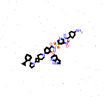 NC1CCC(CNc2ncc(S(=O)(=O)NC(=O)c3ccc(N4CCC5(CC4)CC(N4CCC[C@@H]4c4ccccc4C4CC4)C5)cc3Oc3cnc4[nH]ccc4c3)cc2[N+](=O)[O-])CC1